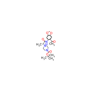 CC(=O)c1cc2c(cc1NC(=O)C(C)N1CCN(C(=O)OC(C)(C)C)CC1)OCO2